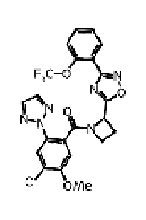 COc1cc(C(=O)N2CCC2c2nc(-c3ccccc3OC(F)(F)F)no2)c(-n2nccn2)cc1Cl